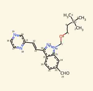 C[Si](C)(C)CCOCn1nc(/C=C/c2cnccn2)c2ccc(C=O)cc21